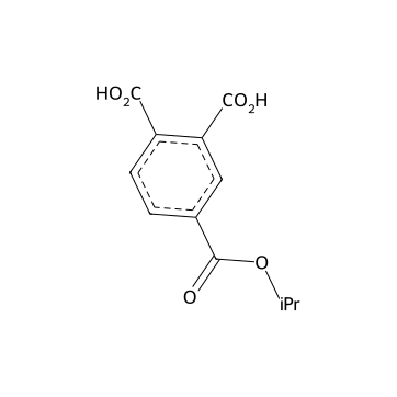 CC(C)OC(=O)c1ccc(C(=O)O)c(C(=O)O)c1